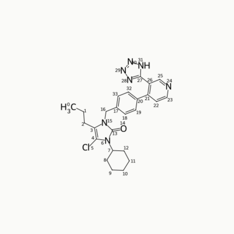 CCCc1c(Cl)n(C2CCCCC2)c(=O)n1Cc1ccc(-c2ccncc2-c2nnn[nH]2)cc1